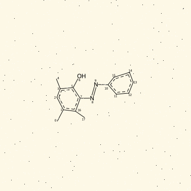 Cc1cc(C)c(O)c(N=Nc2ccccc2)c1C